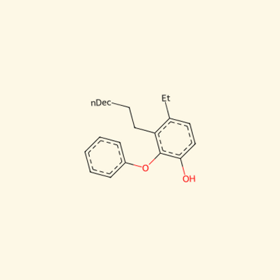 CCCCCCCCCCCCc1c(CC)ccc(O)c1Oc1ccccc1